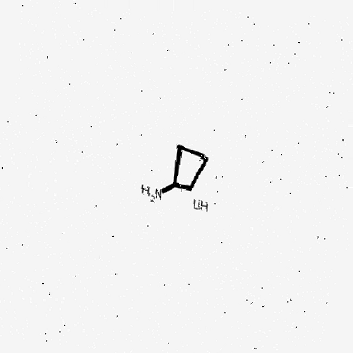 NC1CCC1.[LiH]